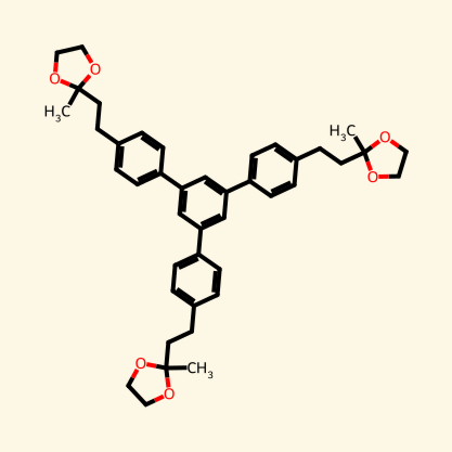 CC1(CCc2ccc(-c3cc(-c4ccc(CCC5(C)OCCO5)cc4)cc(-c4ccc(CCC5(C)OCCO5)cc4)c3)cc2)OCCO1